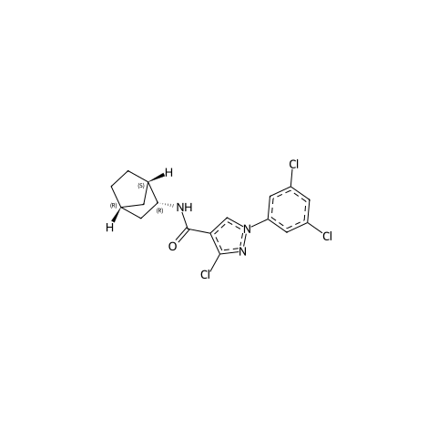 O=C(N[C@@H]1C[C@@H]2CC[C@H]1C2)c1cn(-c2cc(Cl)cc(Cl)c2)nc1Cl